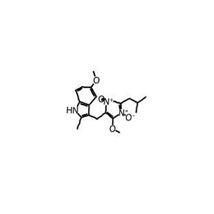 COC1=C(Cc2c(C)[nH]c3ccc(OC)cc23)[N+](=O)CC(CC(C)C)=[N+]1[O-]